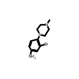 CN1CCN(c2ccc(N)cc2Br)CC1